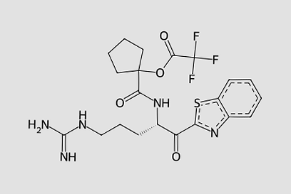 N=C(N)NCCC[C@H](NC(=O)C1(OC(=O)C(F)(F)F)CCCC1)C(=O)c1nc2ccccc2s1